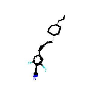 CCC[C@H]1CC[C@H](/C=C/C#Cc2cc(F)c(C#N)c(F)c2)CC1